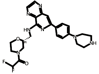 O=C(C(F)F)N1CCO[C@H](CNc2nc(-c3ccc(N4CCNCC4)cc3)cc3nccnc23)C1